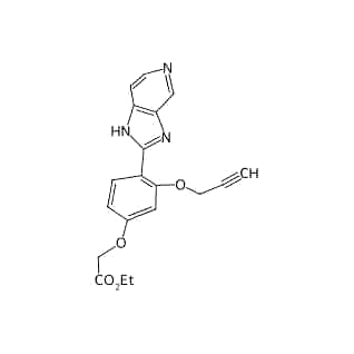 C#CCOc1cc(OCC(=O)OCC)ccc1-c1nc2cnccc2[nH]1